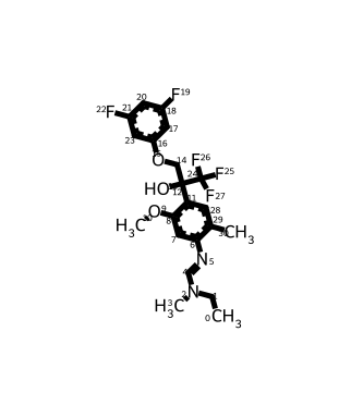 CCN(C)/C=N/c1cc(OC)c(C(O)(COc2cc(F)cc(F)c2)C(F)(F)F)cc1C